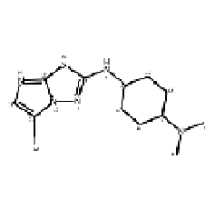 CN(C)C1CCC(Nc2nn3c(I)cnc3s2)CC1